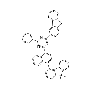 CC1(C)c2ccccc2-c2c(-c3ccc(-c4cc(-c5ccc6sc7ccccc7c6c5)nc(-c5ccccc5)n4)c4ccccc34)cccc21